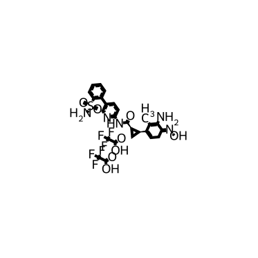 CC1=C(N)C(=NO)CC=C1[C@H]1C[C@H]1C(=O)Nc1ccc(-c2ccccc2S(N)(=O)=O)cn1.O=C(O)C(F)(F)F.O=C(O)C(F)(F)F